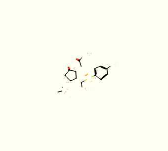 COC(=O)C[C@H]1C(=O)C[C@@H](O[Si](C)(C)C(C)(C)C)[C@H]1C(SC)S(=O)(=O)c1ccc(C)cc1